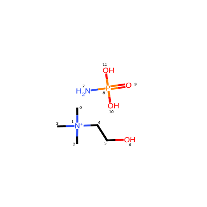 C[N+](C)(C)CCO.NP(=O)(O)O